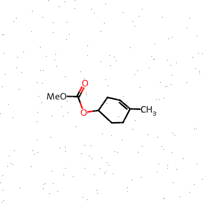 COC(=O)OC1CC=C(C)CC1